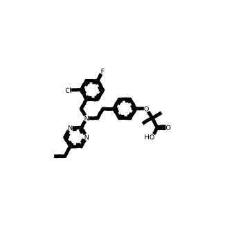 CCc1cnc(N(CCc2ccc(OC(C)(C)C(=O)O)cc2)Cc2ccc(F)cc2Cl)nc1